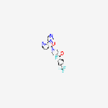 O=C(c1cccnc1-c1ccncn1)N1CCC(F)(C(=O)c2ccc(C(F)(F)F)cc2)CC1